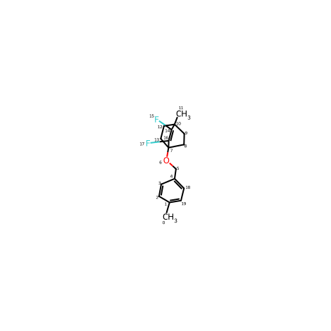 Cc1ccc(COC23CCC(C)(CC2)C(F)=C3F)cc1